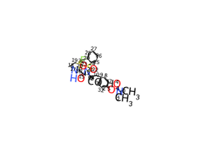 CN(C)C(=O)Oc1ccc(C[C@@H](C(=O)O)N(C(=O)[C@H]2NCCS2)S(=O)(=O)c2ccccc2F)cc1